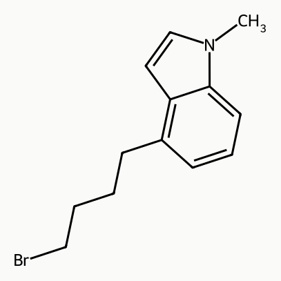 Cn1ccc2c(CCCCBr)cccc21